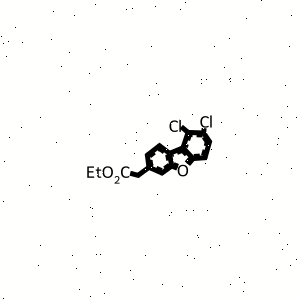 CCOC(=O)Cc1ccc2c(c1)oc1ccc(Cl)c(Cl)c12